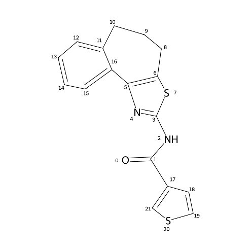 O=C(Nc1nc2c(s1)CCCc1ccccc1-2)c1ccsc1